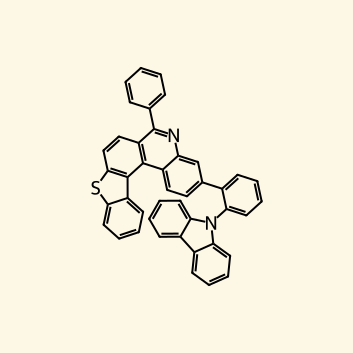 c1ccc(-c2nc3cc(-c4ccccc4-n4c5ccccc5c5ccccc54)ccc3c3c2ccc2sc4ccccc4c23)cc1